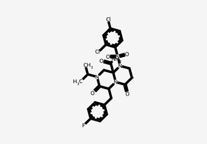 CC(C)N1CC2(C(N)=O)N(C(=O)[C]CN2S(=O)(=O)c2ccc(Cl)cc2Cl)C(Cc2ccc(F)cc2)C1=O